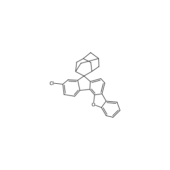 Clc1ccc2c(c1)C1(c3ccc4c(oc5ccccc54)c3-2)C2CC3CC(C2)CC1C3